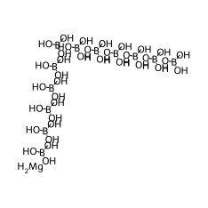 OB(O)O.OB(O)O.OB(O)O.OB(O)O.OB(O)O.OB(O)O.OB(O)O.OB(O)O.OB(O)O.OB(O)O.OB(O)O.OB(O)O.[MgH2]